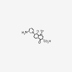 NC1=CC=CN(c2ccc3c(=O)c(C(=O)O)cn(C4CC4)c3c2Cl)C1